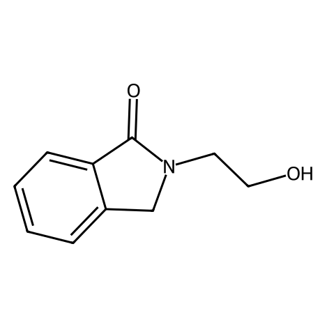 O=C1c2ccccc2CN1CCO